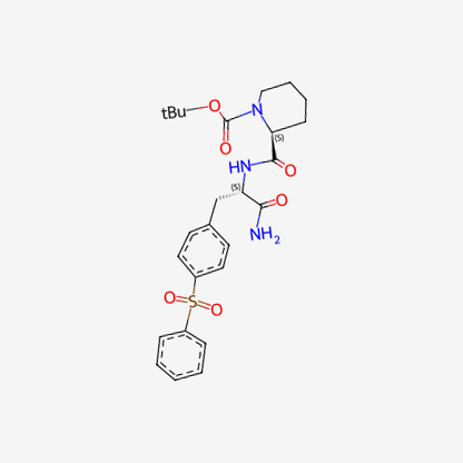 CC(C)(C)OC(=O)N1CCCC[C@H]1C(=O)N[C@@H](Cc1ccc(S(=O)(=O)c2ccccc2)cc1)C(N)=O